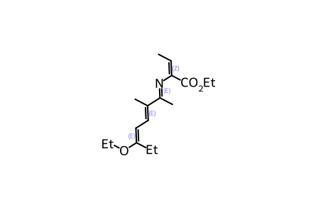 C\C=C(/N=C(C)/C(C)=C/C=C(\CC)OCC)C(=O)OCC